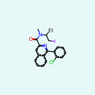 CCC(CI)N(C)C(=O)c1cc2ccccc2c(-c2ccccc2Cl)n1